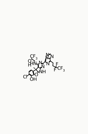 C[C@]1(c2ccc(Cl)c(O)c2)C(=O)Nc2nc(-c3cn4ncnc4c(CCC(F)(F)C(F)(F)F)n3)nc(NCC(O)C(F)(F)F)c21